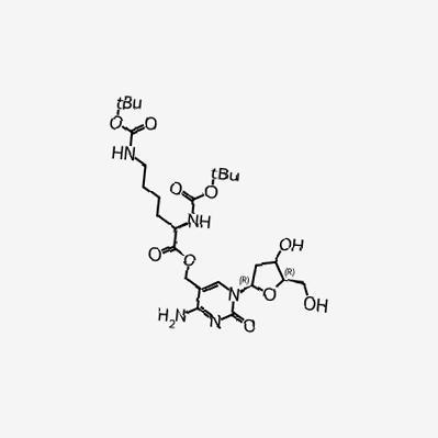 CC(C)(C)OC(=O)NCCCCC(NC(=O)OC(C)(C)C)C(=O)OCc1cn([C@H]2CC(O)[C@@H](CO)O2)c(=O)nc1N